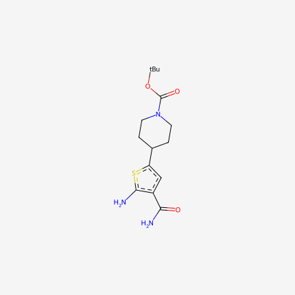 CC(C)(C)OC(=O)N1CCC(c2cc(C(N)=O)c(N)s2)CC1